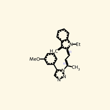 C=c1/c(=C\C=C(/C)n2nncc2-c2cccc(OC)c2)n(CC)c2ccccc12